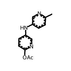 CC(=O)Oc1ccc(Nc2ccc(C)nc2)cn1